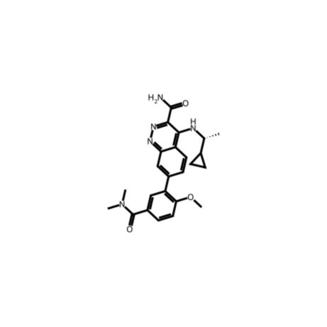 COc1ccc(C(=O)N(C)C)cc1-c1ccc2c(N[C@H](C)C3CC3)c(C(N)=O)nnc2c1